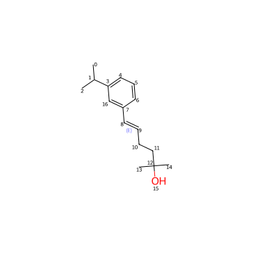 CC(C)c1cccc(/C=C/CCC(C)(C)O)c1